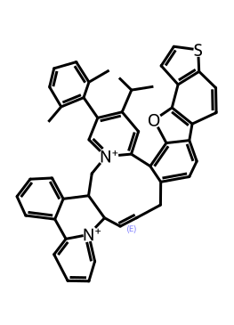 Cc1cccc(C)c1-c1c[n+]2c(cc1C(C)C)-c1c(ccc3c1oc1c4ccsc4ccc31)C/C=C/C1C(C2)c2ccccc2-c2cccc[n+]21